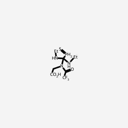 CCNC(NCC)([PH2]=S)N(CC(=O)O)C(=O)C(F)(F)F